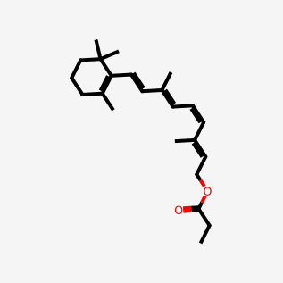 CCC(=O)OC/C=C(C)/C=C\C=C(C)\C=C\C1=C(C)CCCC1(C)C